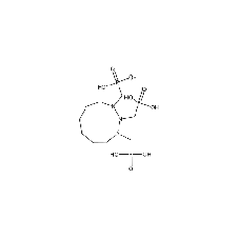 O=P(O)(O)CN1CCCCCCN(CP(=O)(O)O)N1CP(=O)(O)O